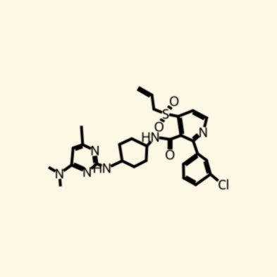 C=CCS(=O)(=O)c1ccnc(-c2cccc(Cl)c2)c1C(=O)NC1CCC(Nc2nc(C)cc(N(C)C)n2)CC1